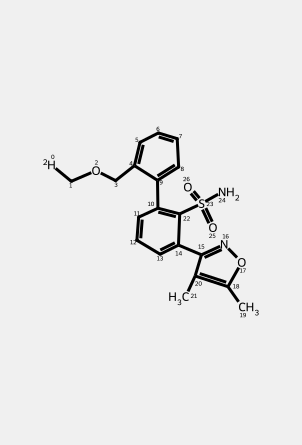 [2H]COCc1ccccc1-c1cccc(-c2noc(C)c2C)c1S(N)(=O)=O